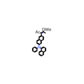 CO/C(C)=C(\C(C)=O)c1ccc2cc(N(c3ccccc3)c3cccc4ccccc34)ccc2c1